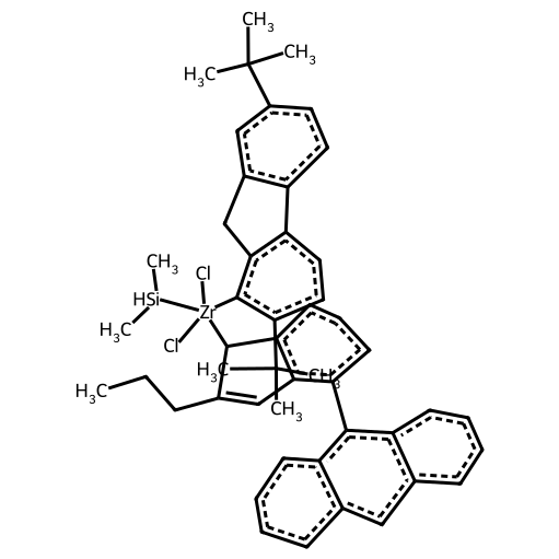 CCCC1=Cc2c(-c3c4ccccc4cc4ccccc34)cccc2[CH]1[Zr]([Cl])([Cl])([c]1c(C(C)(C)C)ccc2c1Cc1cc(C(C)(C)C)ccc1-2)[SiH](C)C